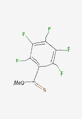 COC(=S)c1c(F)c(F)c(F)c(F)c1F